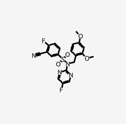 COc1ccc(CN(c2ncc(F)cn2)S(=O)(=O)c2ccc(F)c(C#N)c2)c(OC)c1